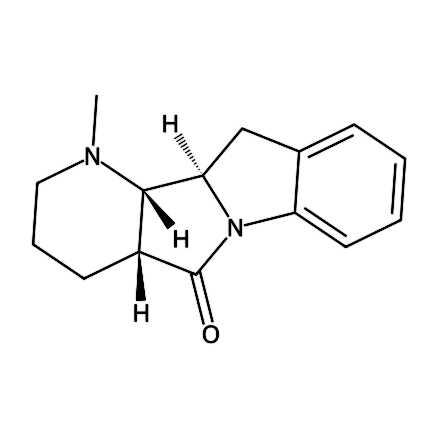 CN1CCC[C@H]2C(=O)N3c4ccccc4C[C@@H]3[C@H]21